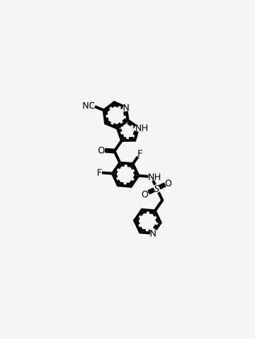 N#Cc1cnc2[nH]cc(C(=O)c3c(F)ccc(NS(=O)(=O)Cc4cccnc4)c3F)c2c1